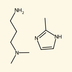 CN(C)CCCN.Cc1ncc[nH]1